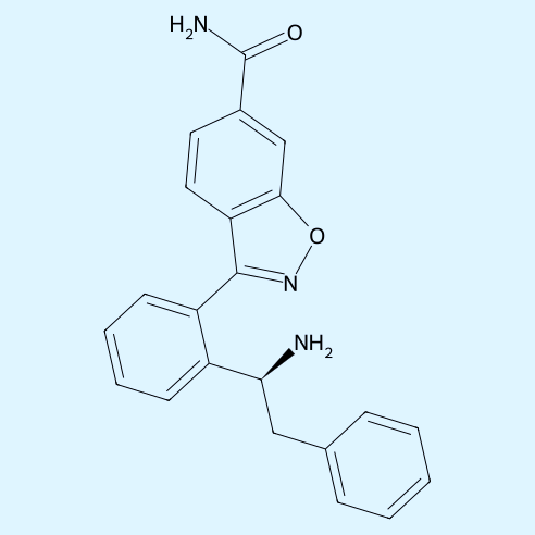 NC(=O)c1ccc2c(-c3ccccc3[C@@H](N)Cc3ccccc3)noc2c1